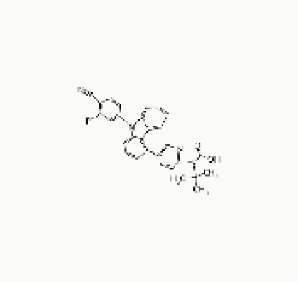 CC(C)(C)N(C(=O)O)c1ccc(-c2cccc3c2c2ccccc2n3-c2ccc(C#N)c(F)c2)cn1